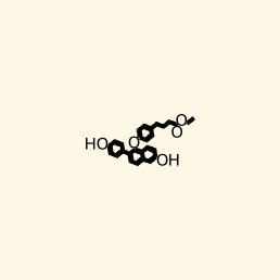 CCOC(=O)CCCc1ccc(Oc2c(-c3ccc(O)cc3)ccc3cc(O)ccc23)cc1